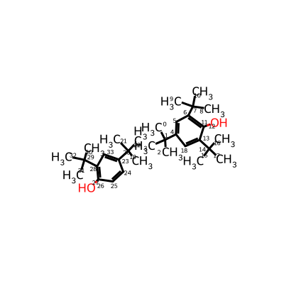 CC(C)(C)c1cc(C(C)(C)C)c(O)c(C(C)(C)C)c1.CC(C)(C)c1ccc(O)c(C(C)(C)C)c1